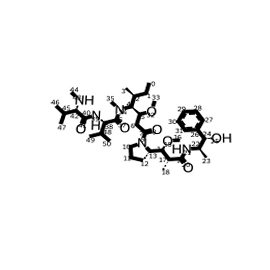 CC[C@H](C)[C@@H](C(CC(=O)N1CCC[C@H]1[C@H](OC)[C@@H](C)C(=O)N[C@H](C)[C@@H](O)c1ccccc1)OC)N(C)C(=O)[C@@H](NC(=O)[C@@H](NC)C(C)C)C(C)C